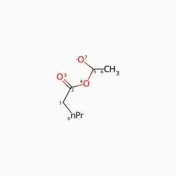 CCCCC(=O)OC(C)[O]